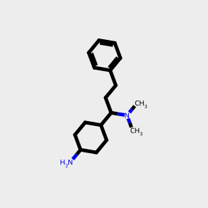 CN(C)C(CCc1ccccc1)C1CCC(N)CC1